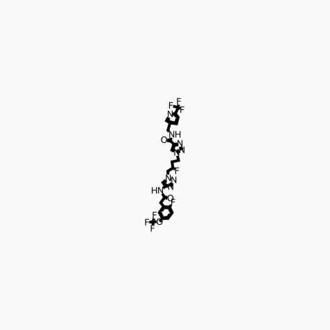 O=C(Cc1cc(OC(F)(F)F)ccc1F)Nc1cn(CC(F)CCn2cc(C(=O)NCc3ccc(C(F)(F)F)nc3)nn2)nn1